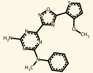 COc1ccsc1-c1nc(-c2nc(N)nc(N(C)c3ccccc3)n2)no1